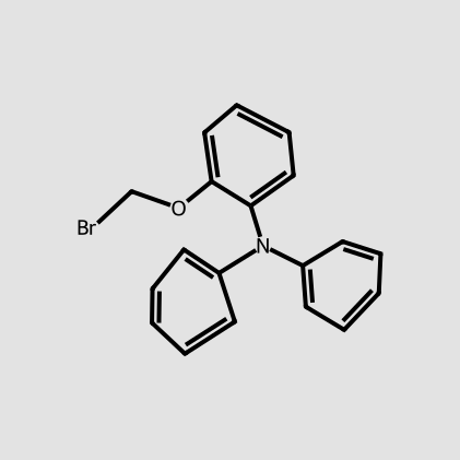 BrCOc1ccccc1N(c1ccccc1)c1ccccc1